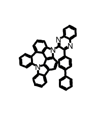 c1ccc(-c2ccc(-c3nc4ccccc4nc3-n3c4cccc5c6ccccc6n6c7ccccc7c7ccc3c(c54)c76)cc2)cc1